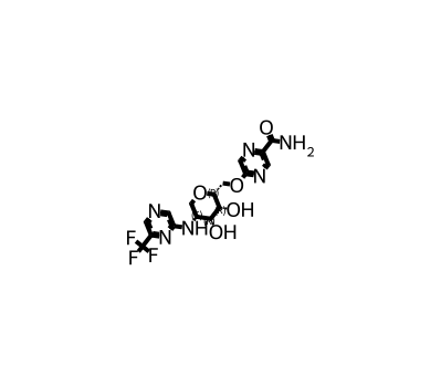 NC(=O)c1cnc(OC[C@H]2OC[C@H](Nc3cncc(C(F)(F)F)n3)[C@@H](O)[C@H]2O)cn1